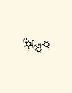 Cc1cc(Nc2ncc(F)c3nn(-c4c(Cl)cc(CO)cc4Cl)cc23)ncn1